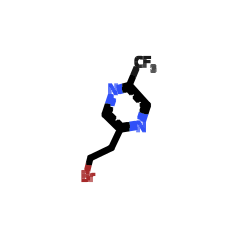 FC(F)(F)c1cnc(CCBr)cn1